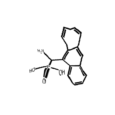 NC(c1c2ccccc2cc2ccccc12)P(=O)(O)O